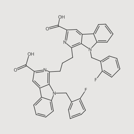 O=C(O)c1cc2c3ccccc3n(Cc3ccccc3F)c2c(CCCc2nc(C(=O)O)cc3c4ccccc4n(Cc4ccccc4F)c23)n1